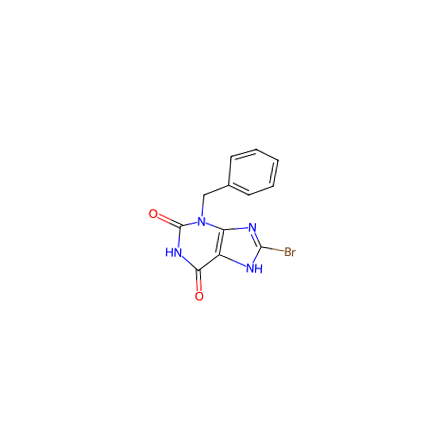 O=c1[nH]c(=O)n(Cc2ccccc2)c2nc(Br)[nH]c12